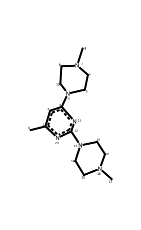 Cc1cc(N2CCN(C)CC2)nc(N2CCN(C)CC2)n1